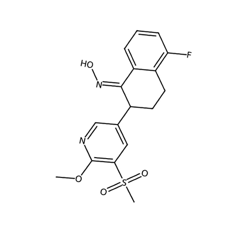 COc1ncc(C2CCc3c(F)cccc3/C2=N\O)cc1S(C)(=O)=O